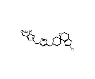 CCc1cc2c(s1)CCOC21CCN(Cc2cn(Cc3cc(COC)[nH]n3)nn2)CC1